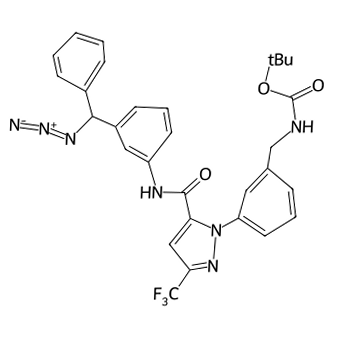 CC(C)(C)OC(=O)NCc1cccc(-n2nc(C(F)(F)F)cc2C(=O)Nc2cccc(C(N=[N+]=[N-])c3ccccc3)c2)c1